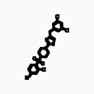 O=S(=O)(c1ccc(Br)cc1Cl)C1CCN(c2nc(Cc3cc(Cl)cc(Cl)c3)cs2)CC1